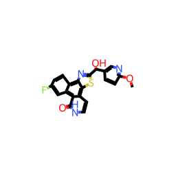 COc1ccc(C(O)c2nc3c4ccc(F)cc4c4c(=O)[nH]ccc4c3s2)cn1